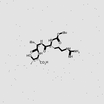 CCC(C)[C@H](NC(=O)[C@@H](CCCNC(=N)N)NC(=O)OC(C)(C)C)C(=O)N[C@H](C(=O)O)[C@H](C)O